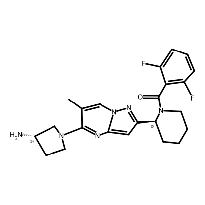 Cc1cn2nc([C@@H]3CCCCN3C(=O)c3c(F)cccc3F)cc2nc1N1CC[C@H](N)C1